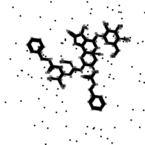 CN1C(=O)OC2C3O[C@H](O[C@@H](CO)C[C@@H](NC(=O)OCc4ccccc4)[C@H](N)O)[C@@H](NC(=O)OCc4ccccc4)C[C@@H]3OC(O[C@H]3OC(CO)[C@@H](N)[C@H](O)C3O)C21